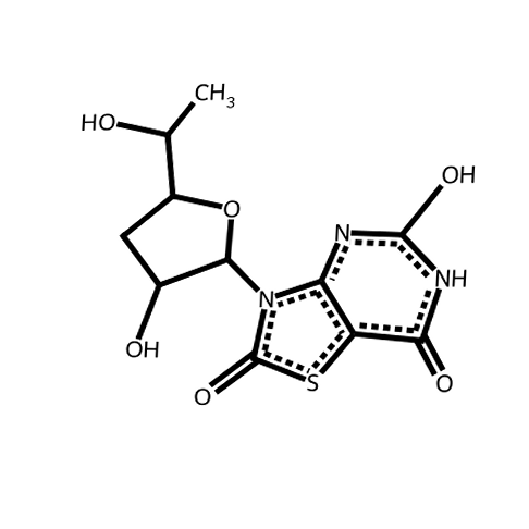 CC(O)C1CC(O)C(n2c(=O)sc3c(=O)[nH]c(O)nc32)O1